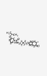 CC(C)Oc1cc(C(=O)NC2CC3(C2)CC(c2nc4cc(Cl)ccc4s2)C3)ccn1